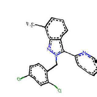 FC(F)(F)c1cccc2c(-c3ccccn3)n(Cc3ccc(Cl)cc3Cl)nc12